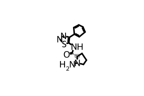 NN1CCC[C@H]1C(=O)Nc1snnc1-c1ccccc1